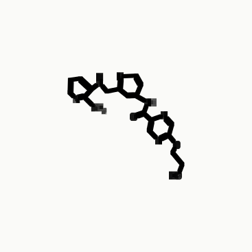 Nc1ncccc1NCc1cc(NC(=O)c2cnc(OCCO)cn2)ccn1